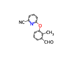 Cc1c(C=O)cccc1Oc1cccc(C#N)n1